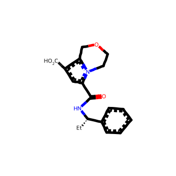 CC[C@H](NC(=O)c1cc(C(=O)O)c2n1CCOC2)c1ccccc1